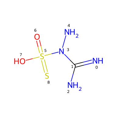 N=C(N)N(N)S(=O)(O)=S